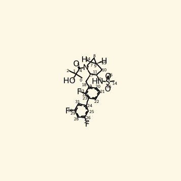 CC(C)(O)C(=O)N1[C@@H]2C[C@@H]2C[C@@H](NS(C)(=O)=O)[C@H]1Cc1cccc(-c2cc(F)cc(F)c2)c1F